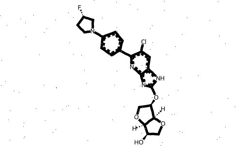 O[C@@H]1CO[C@H]2[C@@H]1OC[C@H]2Oc1nc2nc(-c3ccc(N4CC[C@H](F)C4)cc3)c(Cl)cc2[nH]1